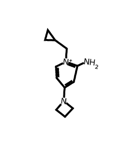 Nc1cc(N2CCC2)cc[n+]1CC1CC1